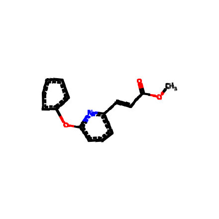 COC(=O)C=Cc1cccc(Oc2ccccc2)n1